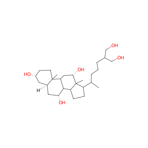 CC(CCCC(CO)CO)C1CCC2C3C(C[C@H](O)C12C)C1(C)CC[C@@H](O)C[C@@H]1C[C@H]3O